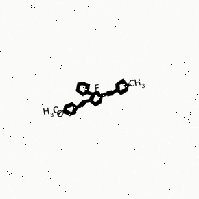 COc1ccc(C#Cc2ccc(C#Cc3ccc(C)cc3)c(F)c2C2=CCCCC2)cc1